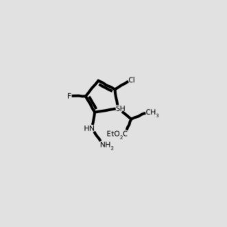 CCOC(=O)C(C)[SH]1C(Cl)=CC(F)=C1NN